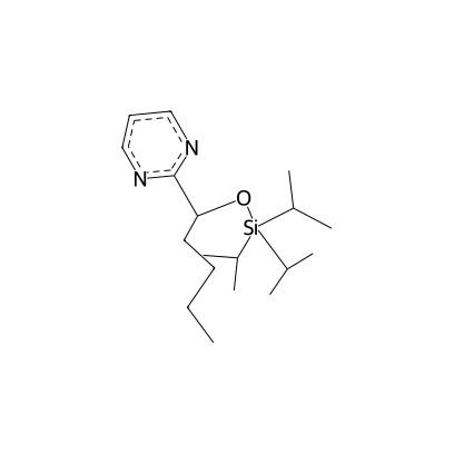 CCCCC(O[Si](C(C)C)(C(C)C)C(C)C)c1ncccn1